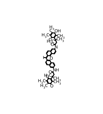 CC1=C(C)C(=O)C(C(C)(C)CC(=O)Nc2ccc3c(ccc4c(I)c5ccc6c/c(=N\C(=O)CC(C)(C)C7=C(C)C(O)C(C)=C(C)C7=O)ccc6c5oc43)c2)=C(C)C1=O